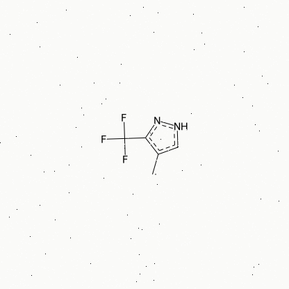 [CH2]c1c[nH]nc1C(F)(F)F